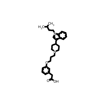 CC(C)CCn1cc(C2CCN(CCCOc3cccc(CC(=O)O)c3)CC2)c2ccccc21